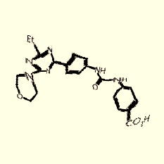 CCc1nc(-c2ccc(NC(=O)Nc3ccc(C(=O)O)cc3)cc2)nc(N2CCOCC2)n1